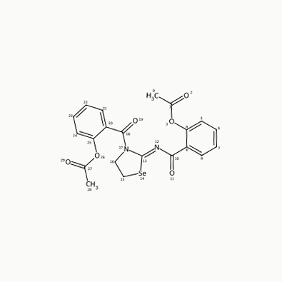 CC(=O)Oc1ccccc1C(=O)/N=C1\[Se]CCN1C(=O)c1ccccc1OC(C)=O